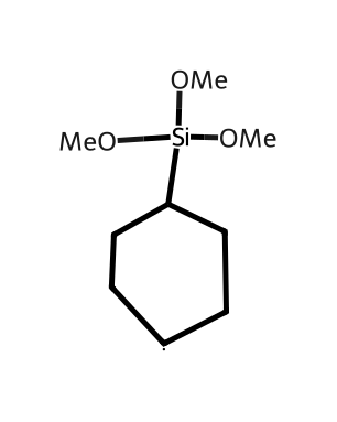 CO[Si](OC)(OC)C1CC[CH]CC1